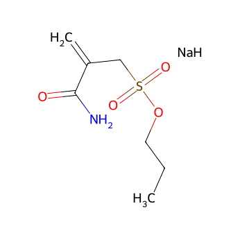 C=C(CS(=O)(=O)OCCC)C(N)=O.[NaH]